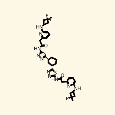 CC1(F)CC(Nc2cccc(CC(=O)Nc3nnc([C@H]4CCC[C@H](c5nnc(NC(=O)Cc6cccc(NC7CC(F)(F)C7)n6)s5)C4)s3)n2)C1